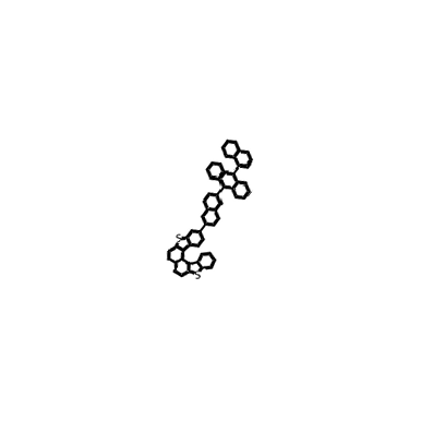 c1ccc2c(-c3c4ccccc4c(-c4ccc5cc(-c6ccc7c(c6)sc6ccc8ccc9sc%10ccccc%10c9c8c67)ccc5c4)c4ccccc34)cccc2c1